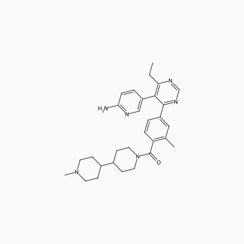 CCc1ncnc(-c2ccc(C(=O)N3CCC(C4CCN(C)CC4)CC3)c(C)c2)c1-c1ccc(N)nc1